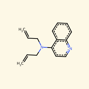 C=CCN(CC=C)c1c[c]nc2ccccc12